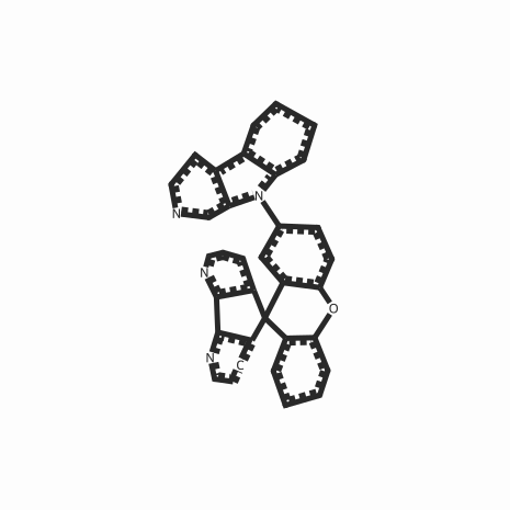 c1ccc2c(c1)Oc1ccc(-n3c4ccccc4c4ccncc43)cc1C21c2cccnc2-c2ncccc21